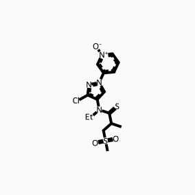 CCN(C(=S)C(C)CS(C)(=O)=O)c1cn(-c2ccc[n+]([O-])c2)nc1Cl